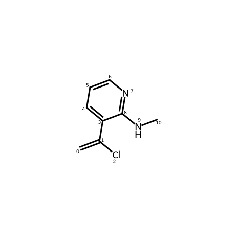 C=C(Cl)c1cccnc1NC